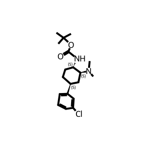 CN(C)[C@H]1C[C@@H](c2cccc(Cl)c2)CC[C@@H]1NC(=O)OC(C)(C)C